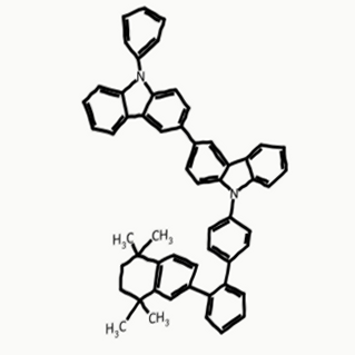 CC1(C)CCC(C)(C)c2cc(-c3ccccc3-c3ccc(-n4c5ccccc5c5cc(-c6ccc7c(c6)c6ccccc6n7-c6ccccc6)ccc54)cc3)ccc21